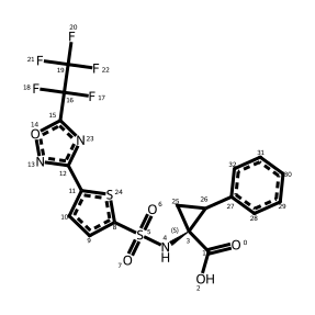 O=C(O)[C@]1(NS(=O)(=O)c2ccc(-c3noc(C(F)(F)C(F)(F)F)n3)s2)CC1c1ccccc1